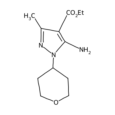 CCOC(=O)c1c(C)nn(C2CCOCC2)c1N